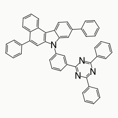 c1ccc(-c2ccc3c4c5ccccc5c(-c5ccccc5)cc4n(-c4cccc(-c5nc(-c6ccccc6)nc(-c6ccccc6)n5)c4)c3c2)cc1